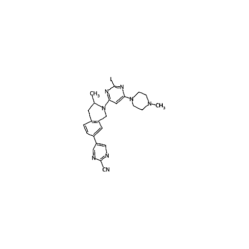 CC1Cc2ccc(-c3cnc(C#N)nc3)cc2CN1c1cc(N2CCN(C)CC2)nc(I)n1